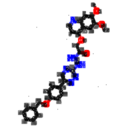 COc1cc2nccc(OCC(=O)NNc3ncc(-c4ccc(OCc5ccccc5)cc4)nn3)c2cc1OC